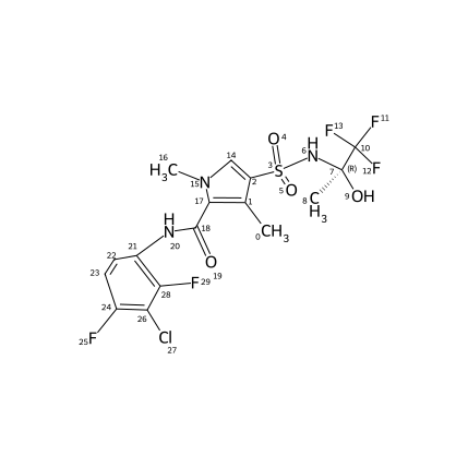 Cc1c(S(=O)(=O)N[C@](C)(O)C(F)(F)F)cn(C)c1C(=O)Nc1ccc(F)c(Cl)c1F